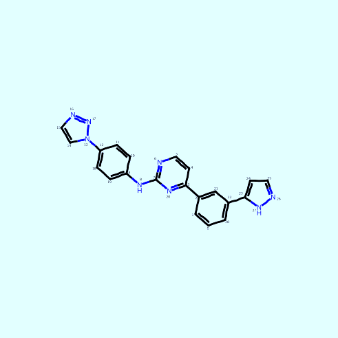 c1cc(-c2ccnc(Nc3ccc(-n4ccnn4)cc3)n2)cc(-c2ccn[nH]2)c1